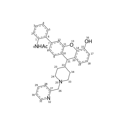 CC(=O)Nc1ccccc1-c1ccc2c(c1)Oc1c(O)cccc1C2C1CCN(Cc2ccccn2)CC1